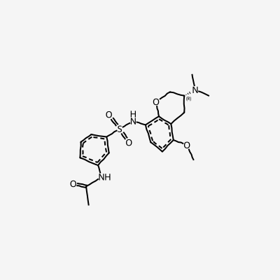 COc1ccc(NS(=O)(=O)c2cccc(NC(C)=O)c2)c2c1C[C@@H](N(C)C)CO2